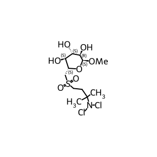 CO[C@H]1O[C@H](CS(=O)(=O)CCC(C)(C)N(Cl)Cl)[C@@H](O)[C@H](O)[C@H]1O